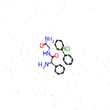 Cl.NC(=O)CNC(=O)C(N)c1ccccc1.c1ccc(-c2ccccc2)cc1